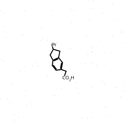 CC(C)C1Cc2ccc(CC(=O)O)cc2C1